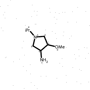 COC1CN(C(C)C)CC1N